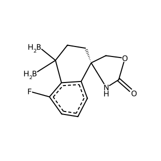 BC1(B)CC[C@@]2(COC(=O)N2)c2cccc(F)c21